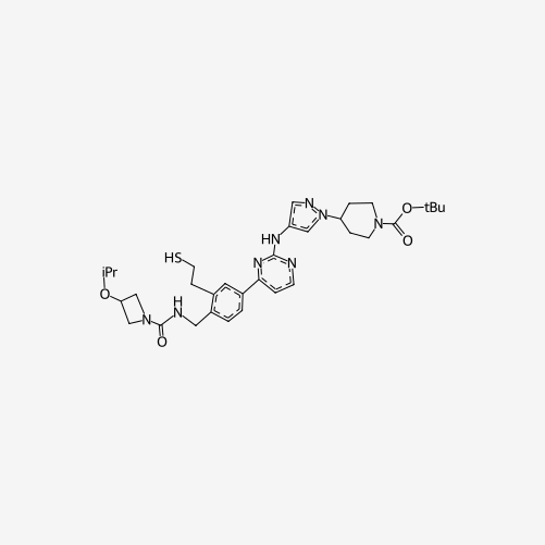 CC(C)OC1CN(C(=O)NCc2ccc(-c3ccnc(Nc4cnn(C5CCN(C(=O)OC(C)(C)C)CC5)c4)n3)cc2CCS)C1